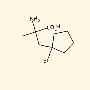 CCC1(CC(C)(N)C(=O)O)CCCC1